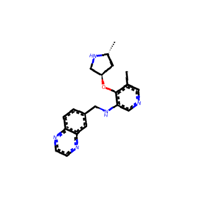 Cc1cncc(NCc2ccc3nccnc3c2)c1O[C@H]1CN[C@H](C)C1